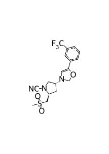 CS(=O)(=O)C[C@@H]1C[C@@H](N2C=C(c3cccc(C(F)(F)F)c3)OC2)CN1C#N